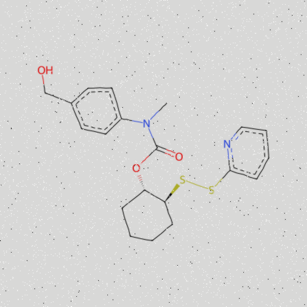 CN(C(=O)O[C@H]1CCCC[C@@H]1SSc1ccccn1)c1ccc(CO)cc1